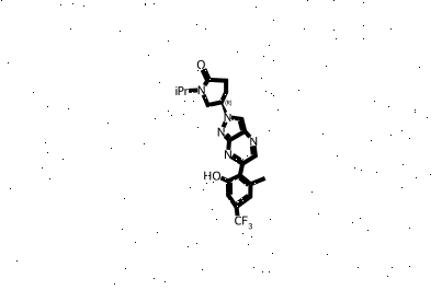 Cc1cc(C(F)(F)F)cc(O)c1-c1cnc2cn([C@@H]3CCC(=O)N(C(C)C)C3)nc2n1